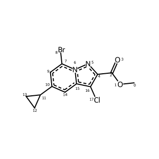 COC(=O)c1nn2c(Br)cc(C3CC3)cc2c1Cl